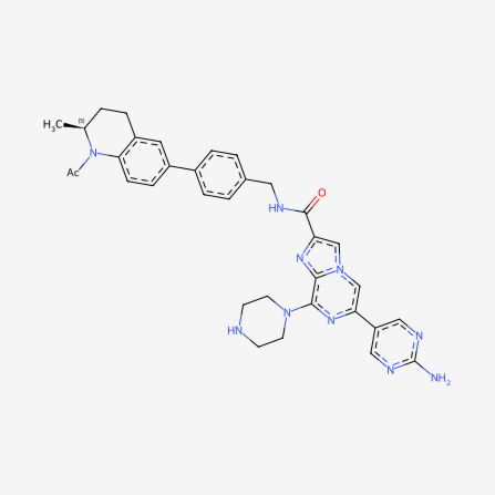 CC(=O)N1c2ccc(-c3ccc(CNC(=O)c4cn5cc(-c6cnc(N)nc6)nc(N6CCNCC6)c5n4)cc3)cc2CC[C@@H]1C